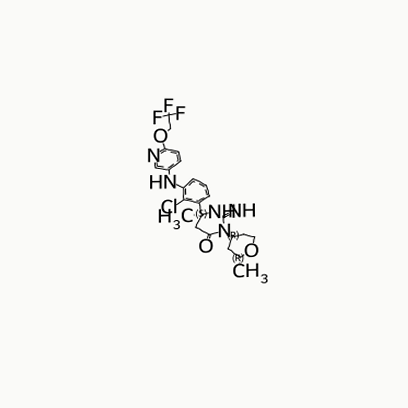 C[C@@H]1C[C@H](N2C(=N)N[C@](C)(c3cccc(Nc4ccc(OCC(F)(F)F)nc4)c3Cl)CC2=O)CCO1